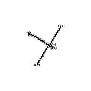 O=C(O)CCCCCCCCCCCCCCCCCC(CCCCCCCCCCCCCCCCCC(=O)O)(CCCCCCCCCCCCCCCCCC(=O)O)CC(CO)(CO)CO